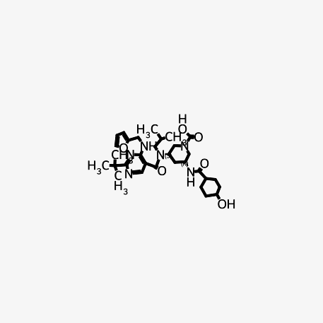 CC(C)CN(C(=O)c1cnc(C(C)(C)C)nc1NCc1ccco1)[C@H]1C[C@@H](NC(=O)C2CCC(O)CC2)CN(C(=O)O)C1